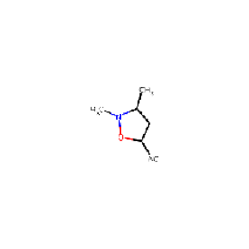 [C-]#[N+]C1CC(C)N(C)O1